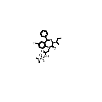 CCC(C)[C@@H]1N=C(c2ccccc2)c2cc(Cl)ccc2N(CC(=O)NS(=O)(=O)N(C)C)C1=O